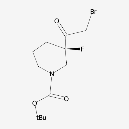 CC(C)(C)OC(=O)N1CCC[C@](F)(C(=O)CBr)C1